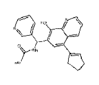 CCCC(=O)NC(c1cccnc1)c1cc(C2=CCCC2)c2cccnc2c1O